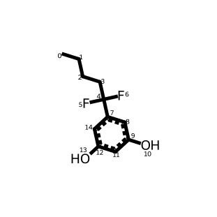 CCCCC(F)(F)c1cc(O)cc(O)c1